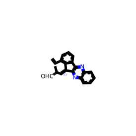 C=Cc1cccc2c1/C(=C\C(C)C=O)c1nc3ccccc3nc1-2